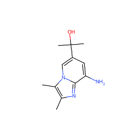 Cc1nc2c(N)cc(C(C)(C)O)cn2c1C